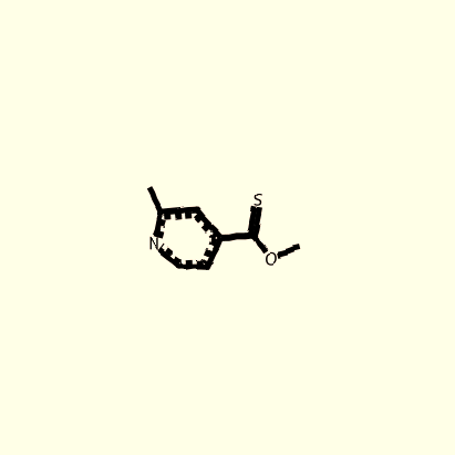 COC(=S)c1ccnc(C)c1